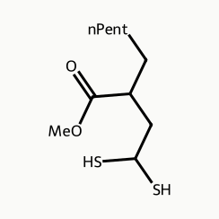 CCCCCCC(CC(S)S)C(=O)OC